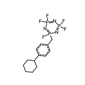 FP1(F)=NP(F)(F)=NP(F)(Cc2ccc(C3CCCCC3)cc2)=N1